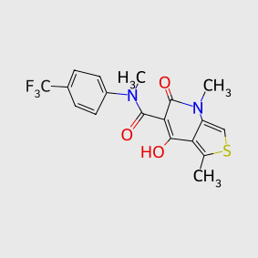 Cc1scc2c1c(O)c(C(=O)N(C)c1ccc(C(F)(F)F)cc1)c(=O)n2C